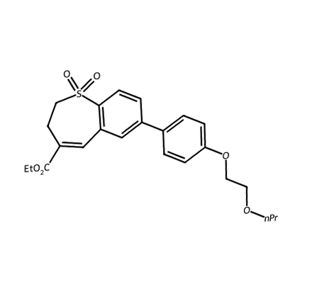 CCCOCCOc1ccc(-c2ccc3c(c2)C=C(C(=O)OCC)CCS3(=O)=O)cc1